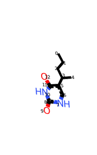 CCCC(C)c1c[nH]c(=O)[nH]c1=O